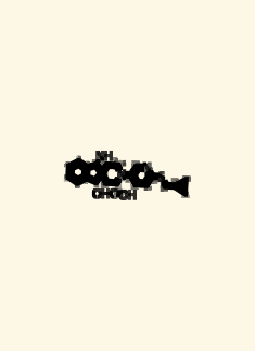 N[C@@H]1c2ccccc2CC12CCN(c1ccc(SCC3CC3)nc1)CC2.O=CO